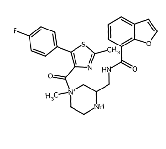 Cc1nc(C(=O)[N+]2(C)CCNC(CNC(=O)c3cccc4ccoc34)C2)c(-c2ccc(F)cc2)s1